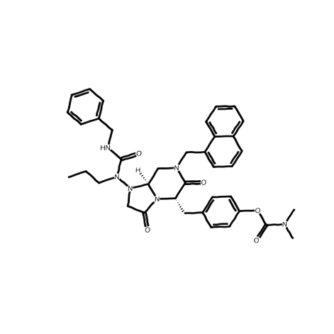 CCCN(C(=O)NCc1ccccc1)N1CC(=O)N2[C@@H](Cc3ccc(OC(=O)N(C)C)cc3)C(=O)N(Cc3cccc4ccccc34)C[C@@H]21